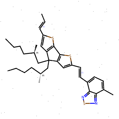 C/C=C/c1cc2c(s1)-c1sc(/C=C/c3ccc(C)c4nsnc34)cc1C2(C[C@H](C)CCCC)C[C@H](C)CCCC